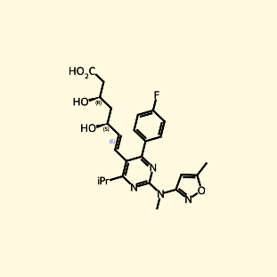 Cc1cc(N(C)c2nc(-c3ccc(F)cc3)c(/C=C/[C@@H](O)C[C@@H](O)CC(=O)O)c(C(C)C)n2)no1